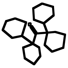 O=C(C1(C2CCCCC2)CCCCC1)C1(C2CCCCC2)CCCCC1